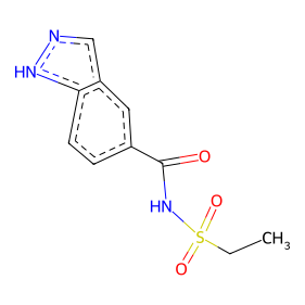 CCS(=O)(=O)NC(=O)c1ccc2[nH]ncc2c1